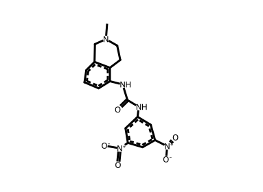 CN1CCc2c(cccc2NC(=O)Nc2cc([N+](=O)[O-])cc([N+](=O)[O-])c2)C1